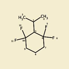 CC(C)C1C(F)(F)CCCC1(F)F